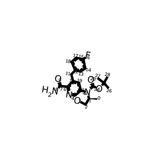 C[C@H]1COc2nc(C(N)=O)c(Cc3ccc(F)cc3)cc2N1C(=O)OC(C)(C)C